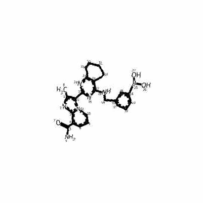 Cc1nc2c(C(N)=O)cccn2c1-c1nc2c(c(NCc3cccc(B(O)O)c3)n1)CCCC2